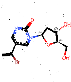 C=C(Br)c1cnc(=O)n([C@H]2C[C@H](O)[C@@H](CO)O2)c1